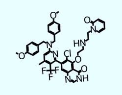 COc1ccc(CN(Cc2ccc(OC)cc2)c2cc(C)c(C(F)(F)F)c(-c3cc4nc[nH]c(=O)c4c(OCCNCCn4ccccc4=O)c3Cl)n2)cc1